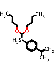 C=C(C)c1ccc([SiH2]C(OCCCC)OCCCC)cc1